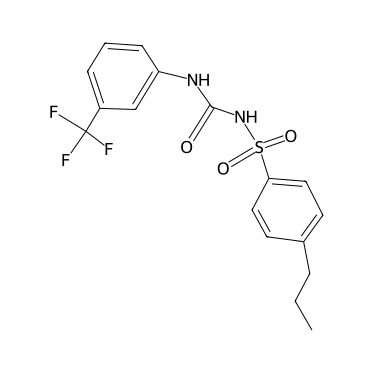 CCCc1ccc(S(=O)(=O)NC(=O)Nc2cccc(C(F)(F)F)c2)cc1